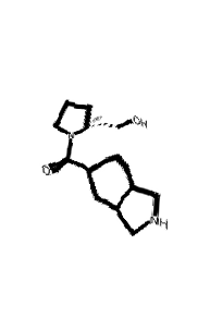 O=C(C1CC2CNCC2C1)N1CCC[C@@H]1CO